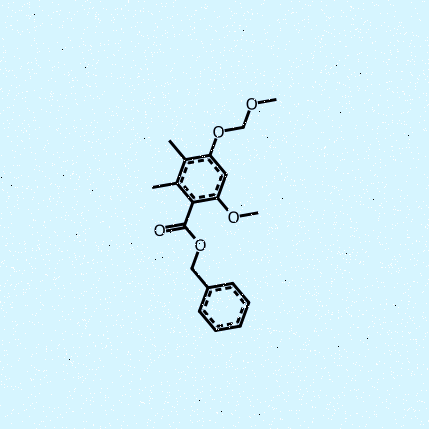 COCOc1cc(OC)c(C(=O)OCc2ccccc2)c(C)c1C